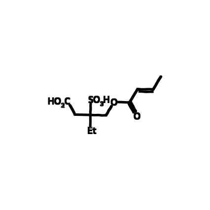 [CH2]CC(COC(=O)C=CC)(CC(=O)O)S(=O)(=O)O